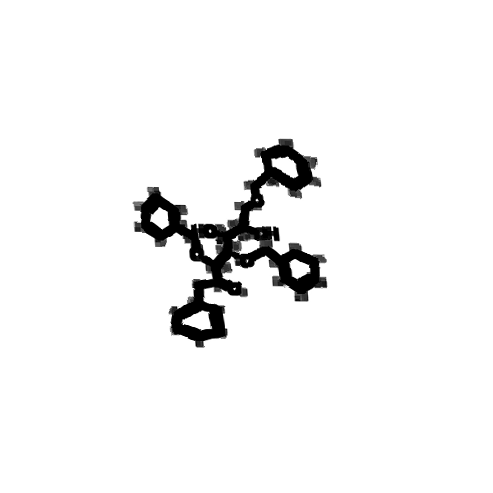 O=C(Cc1ccccc1)[C@@H](OCc1ccccc1)[C@@H](OCc1ccccc1)[C@H](O)[C@H](O)COCc1ccccc1